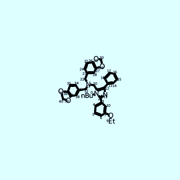 CCCCn1c(-c2cccc(OCC)c2)nc(-c2ccccc2)c1CN(Cc1ccc2c(c1)OCO2)Cc1ccc2c(c1)OCO2